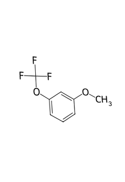 COc1cccc(OC(F)(F)F)c1